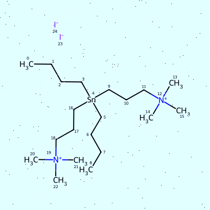 CCC[CH2][Sn]([CH2]CCC)([CH2]CC[N+](C)(C)C)[CH2]CC[N+](C)(C)C.[I-].[I-]